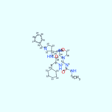 CCNC(=O)/N=C(\NC(CC1CCCCC1)C(=O)NC1(C#N)CCN(Cc2ccccc2)C1)N1CCOCC1